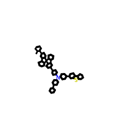 CC1CC=CC=C1c1ccc2c(c1)-c1ccccc1C21c2ccccc2-c2cc(-c3ccc(N(c4ccc(-c5ccccc5)cc4)c4ccc(-c5ccc6c(c5)sc5ccccc56)cc4)cc3)ccc21